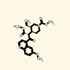 C=C[C@H]1CN(C(=O)OC)CC[C@H]1[C@@H](C(=O)OC)C(=O)c1ccnc2ccc(OC)cc12